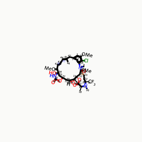 COc1cc2cc(c1Cl)N(C)C(=O)C[C@H](OC(=O)[C@H](C)N(C)[C@@H](CCSSC)C(F)(F)F)[C@]1(C)O[C@H]1CC1C[C@@](O)(NC(=O)O1)[C@H](OC)/C=C/C=C(\C)C2